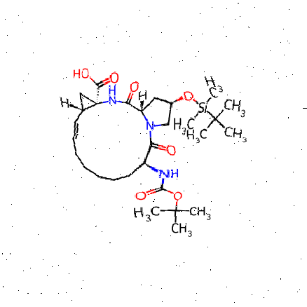 CC(C)(C)OC(=O)N[C@H]1CCCCC/C=C\[C@@H]2C[C@@]2(C(=O)O)NC(=O)[C@@H]2C[C@@H](O[Si](C)(C)C(C)(C)C)CN2C1=O